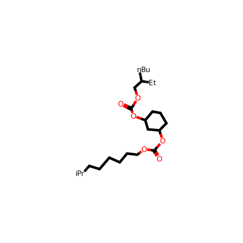 CCCCC(CC)COC(=O)OC1CCCC(OC(=O)OCCCCCCC(C)C)C1